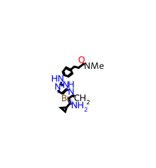 C=C(/C=C(\N)C1CC1)Nc1nc(Nc2ccc(CCC(=O)NC)cc2)ncc1Br